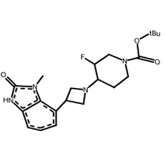 Cn1c(=O)[nH]c2cccc(C3CN(C4CCN(C(=O)OC(C)(C)C)CC4F)C3)c21